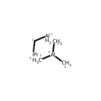 CC(C)[CH2][AlH2].[CH3][Al]([CH3])[CH3]